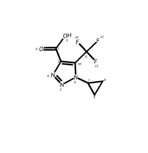 O=C(O)c1nnn(C2CC2)c1C(F)(F)F